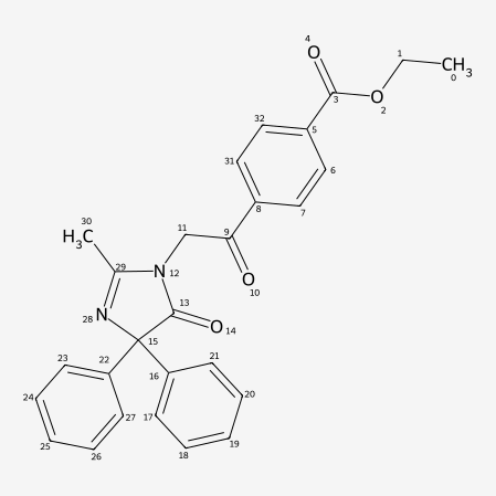 CCOC(=O)c1ccc(C(=O)CN2C(=O)C(c3ccccc3)(c3ccccc3)N=C2C)cc1